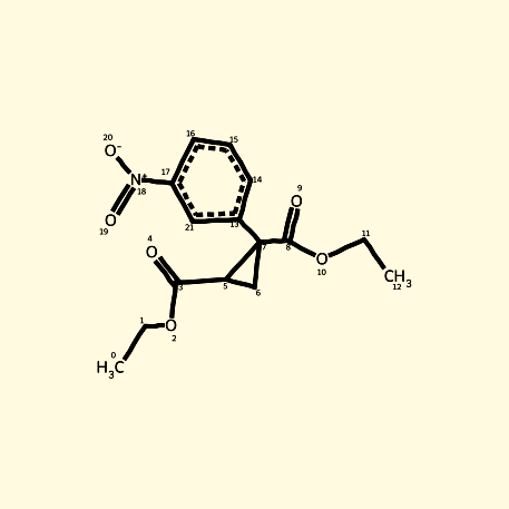 CCOC(=O)C1CC1(C(=O)OCC)c1cccc([N+](=O)[O-])c1